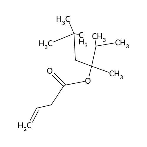 C=CCC(=O)OC(C)(CC(C)(C)C)C(C)C